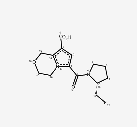 O=C(O)c1cc(C(=O)N2CCC[C@@H]2CF)n2c1COCC2